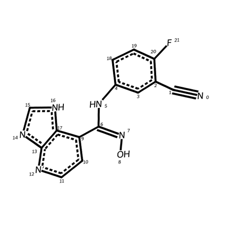 N#Cc1cc(N/C(=N/O)c2ccnc3nc[nH]c23)ccc1F